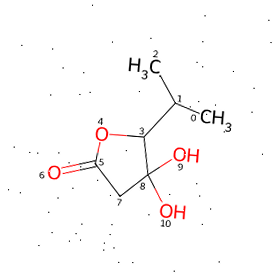 CC(C)C1OC(=O)CC1(O)O